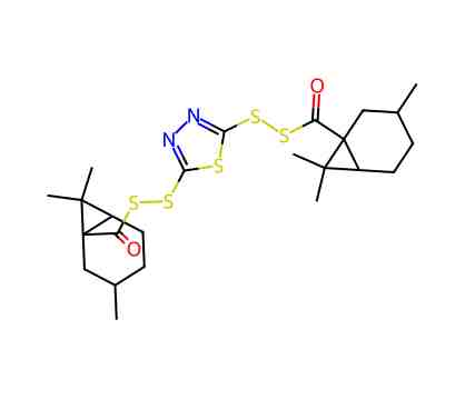 CC1CCC2C(C)(C)C2(C(=O)SSc2nnc(SSC(=O)C34CC(C)CCC3C4(C)C)s2)C1